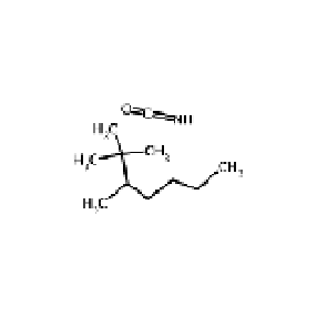 CCCCC(C)C(C)(C)C.N=C=O